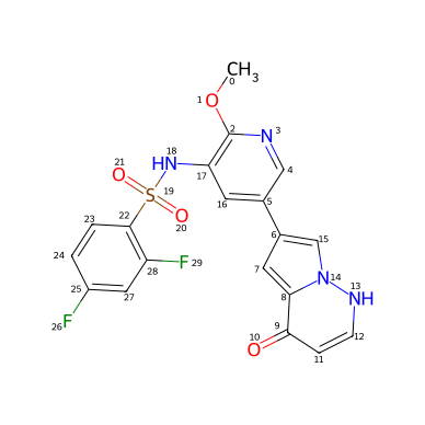 COc1ncc(-c2cc3c(=O)cc[nH]n3c2)cc1NS(=O)(=O)c1ccc(F)cc1F